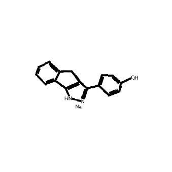 Oc1ccc(-c2n[nH]c3c2Cc2ccccc2-3)cc1.[Na]